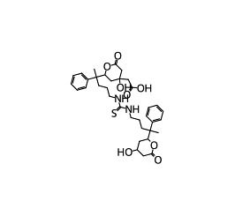 CC(CCCNC(=S)NCCCC(C)(c1ccccc1)C1CC(O)(CC(=O)O)CC(=O)O1)(c1ccccc1)C1CC(O)CC(=O)O1